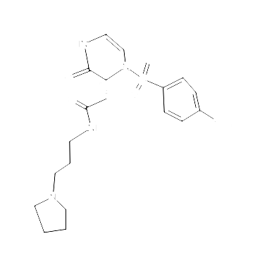 Cc1ccc(S(=O)(=O)N2C=CNC(=O)[C@H]2CC(=O)NCCCN2CCCC2)cc1